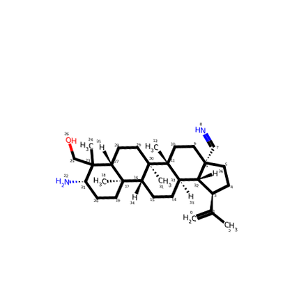 C=C(C)[C@@H]1CC[C@]2(C=N)CC[C@]3(C)[C@H](CC[C@@H]4[C@@]5(C)CC[C@H](N)C(C)(CO)[C@@H]5CC[C@]43C)[C@@H]12